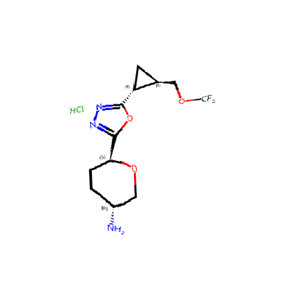 Cl.N[C@@H]1CC[C@@H](c2nnc([C@@H]3C[C@H]3COC(F)(F)F)o2)OC1